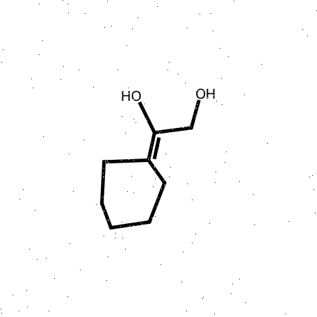 OCC(O)=C1CCCCC1